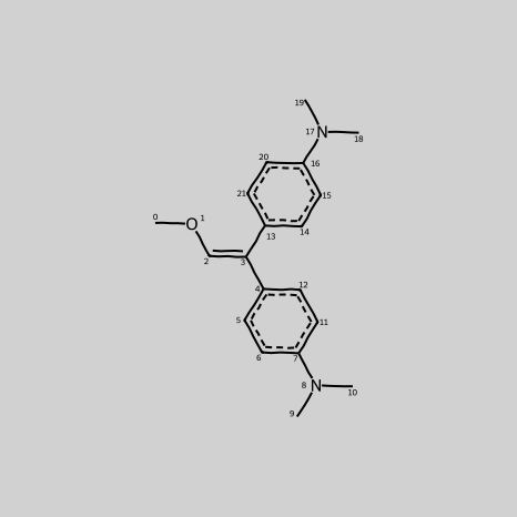 COC=C(c1ccc(N(C)C)cc1)c1ccc(N(C)C)cc1